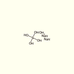 O.O[Si](O)(O)O.[NaH].[NaH]